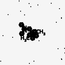 Cc1ccc2c(c1)C(c1ccccc1)(c1ccccc1)c1cc(C)ccc1N2c1cccc(-c2nc(-c3ccccc3)cc(-c3ccccc3)n2)c1